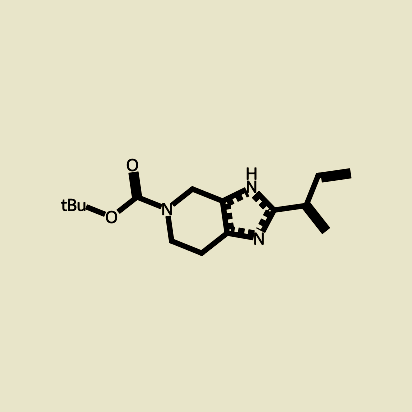 C=CC(=C)c1nc2c([nH]1)CN(C(=O)OC(C)(C)C)CC2